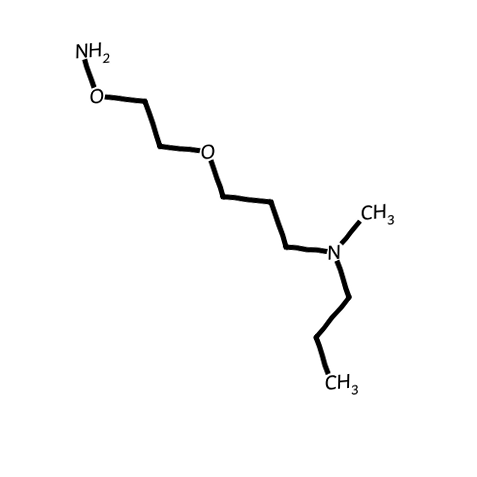 CCCN(C)CCCOCCON